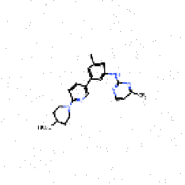 Cc1cc(Nc2nccc(C(F)(F)F)n2)cc(-c2ccc(N3CCC(C(=O)O)CC3)nc2)c1